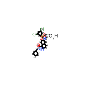 O=C(O)CN(c1ccc2c(C(=O)NCC3CCCCC3)cccc2c1)S(=O)(=O)c1cc(Cl)cc(Cl)c1